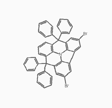 Brc1cc2c3c(c1)c1cc(Br)cc4c1n3-c1c(cccc1C4(c1ccccc1)c1ccccc1)C2(c1ccccc1)c1ccccc1